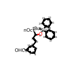 CCCCCCCCC(/C=C/c1cccc(C=O)c1)O[Si](c1ccccc1)(c1ccccc1)C(C)(C)C